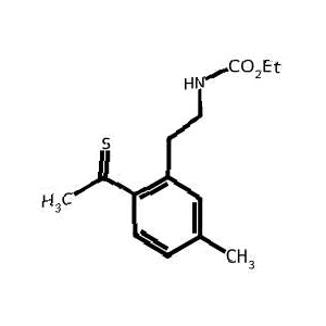 CCOC(=O)NCCc1cc(C)ccc1C(C)=S